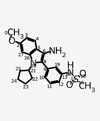 COc1ccc2c(N)c(-c3cccc(NS(C)(=O)=O)c3)n(C3CCCC3)c2c1